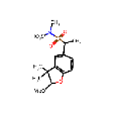 COC1Oc2ccc(C(C)S(=O)(=O)N(C)S(=O)(=O)O)cc2C1(C)C